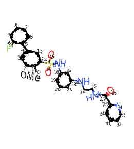 COc1ccc(-c2ccccc2F)cc1S(=O)(=O)Nc1cccc(NCCNC(=O)c2ccccn2)c1